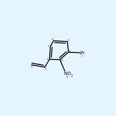 C=[C]c1cccc(C(C)C)c1[N+](=O)[O-]